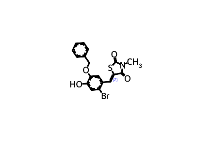 CN1C(=O)S/C(=C\c2cc(OCc3ccccc3)c(O)cc2Br)C1=O